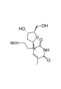 CC1=C[N+](CCC#N)([C@H]2C[C@H](O)[C@@H](CO)O2)C(=O)NC1=O